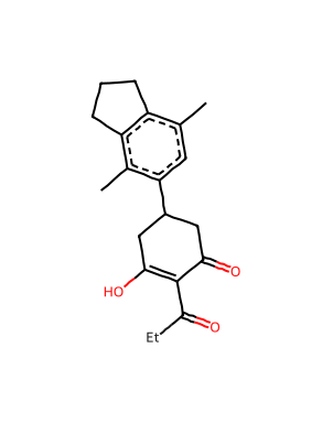 CCC(=O)C1=C(O)CC(c2cc(C)c3c(c2C)CCC3)CC1=O